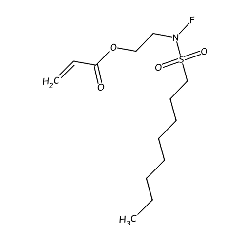 C=CC(=O)OCCN(F)S(=O)(=O)CCCCCCCC